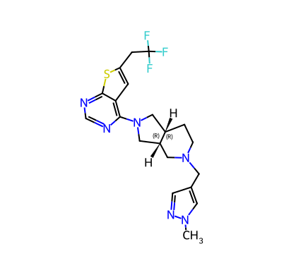 Cn1cc(CN2CC[C@H]3CN(c4ncnc5sc(CC(F)(F)F)cc45)C[C@H]3C2)cn1